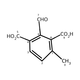 Cc1ccc(C(=O)O)c(C=O)c1C(=O)O